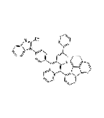 CCc1nc2ccccc2n1-c1ccc(-c2c3ccccc3c(-c3cccc4c3-c3cccc5cccc-4c35)c3ccc(-c4ccccc4)cc23)cc1